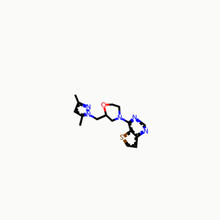 Cc1cc(C)n(CC2CN(c3ncnc4ccsc34)CCO2)n1